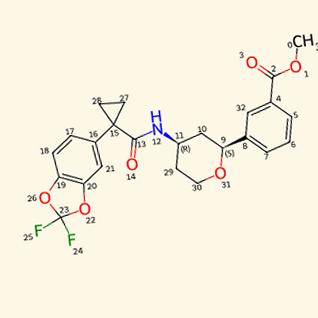 COC(=O)c1cccc([C@@H]2C[C@H](NC(=O)C3(c4ccc5c(c4)OC(F)(F)O5)CC3)CCO2)c1